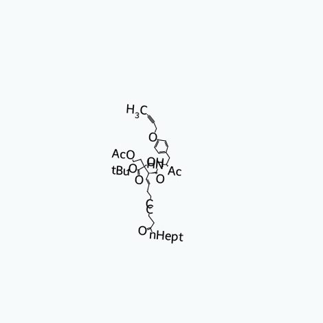 CC#CCOc1ccc(C[C@H](NC(=O)[C@@H](/C=C/CCCCCCC(=O)CCCCCCC)[C@@](O)(CCOC(C)=O)C(=O)OC(C)(C)C)C(C)=O)cc1